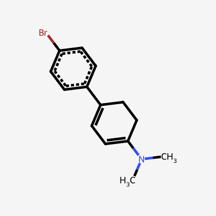 CN(C)C1=CC=C(c2ccc(Br)cc2)CC1